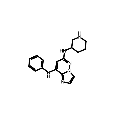 c1ccc(Nc2cc(NC3CCCNC3)nn3ccnc23)cc1